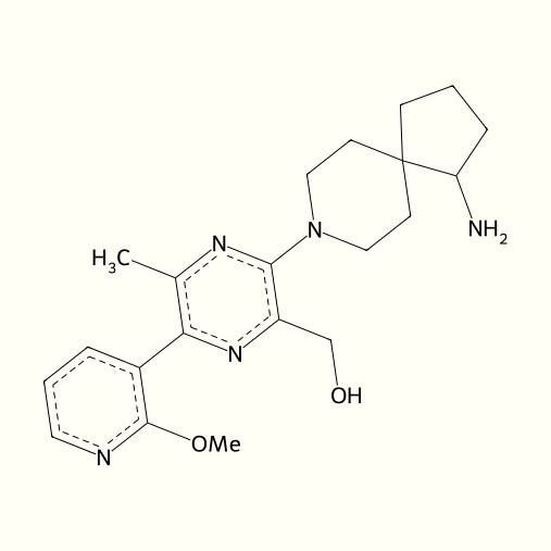 COc1ncccc1-c1nc(CO)c(N2CCC3(CCCC3N)CC2)nc1C